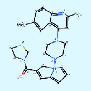 COc1ccc2nc(C(F)(F)F)cc(N3CCN([N@@+]45C=CC=C4C=C(C(=O)N4CCSC4)C5)CC3)c2c1